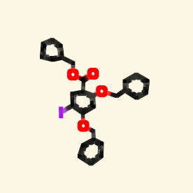 O=C(OCc1ccccc1)c1cc(I)c(OCc2ccccc2)cc1OCc1ccccc1